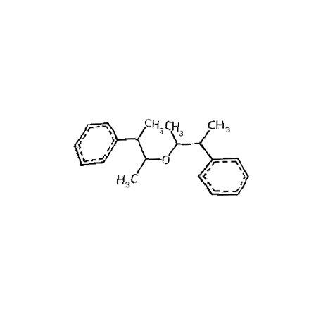 CC(OC(C)C(C)c1ccccc1)C(C)c1ccccc1